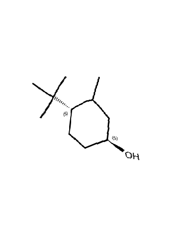 CC1C[C@@H](O)CC[C@@H]1C(C)(C)C